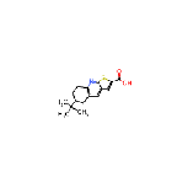 CC(C)(C)[C@H]1CCc2nc3sc(C(=O)O)cc3cc2C1